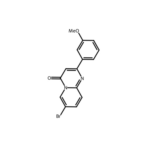 COc1cccc(-c2cc(=O)n3cc(Br)ccc3n2)c1